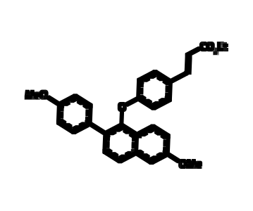 CCOC(=O)C=Cc1ccc(Oc2c(-c3ccc(OC)cc3)ccc3cc(OC)ccc23)cc1